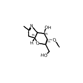 CO[C@@H]1C(CO)O[C@@H]2CC(C)=NC2[C@H]1O